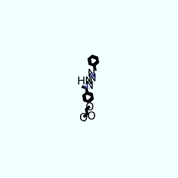 COC(=O)COc1ccc(/C(C)=N/N/N=N/Cc2ccccc2)cc1